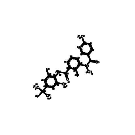 CN(C(=O)c1ccc(C(F)(F)F)nc1)c1cccc(C(=O)Nc2c(I)cc(C(F)(C(F)(F)F)C(F)(F)F)cc2C(F)(F)F)c1F